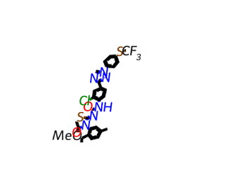 COC(C)c1ccc(C)cc1N1C(=O)CSC1=NC(=O)Nc1ccc(-c2ncn(-c3ccc(SC(F)(F)F)cc3)n2)cc1Cl